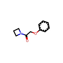 O=C(COc1ccccc1)N1CCC1